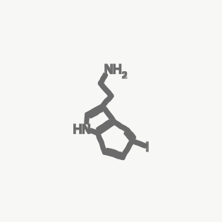 NCCc1c[nH]c2ccc(I)cc12